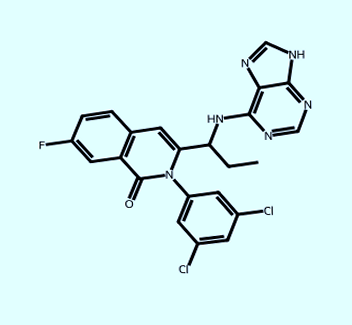 CCC(Nc1ncnc2[nH]cnc12)c1cc2ccc(F)cc2c(=O)n1-c1cc(Cl)cc(Cl)c1